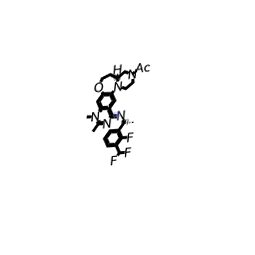 CC(=O)N1CCN2c3cc4/c(=N/[C@H](C)c5cccc(C(F)F)c5F)nc(C)n(C)c4cc3OCC[C@H]2C1